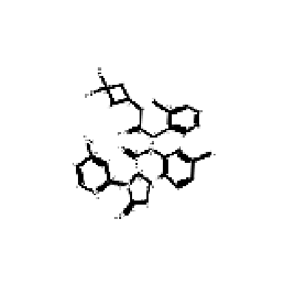 Cc1ccc(F)c(N(C(=O)[C@@H]2CCC(=O)N2c2cc(C#N)ccn2)[C@H](C(=O)CC2CC(F)(F)C2)c2ccccc2C)c1